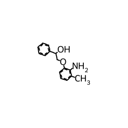 Cc1cccc(OCC(O)c2ccccc2)c1N